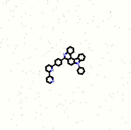 c1ccc(-n2c3ccccc3c3c4c(ccc32)c(-c2ccc(-c3cccc(-c5cccnc5)n3)cc2)nc2ccccc24)cc1